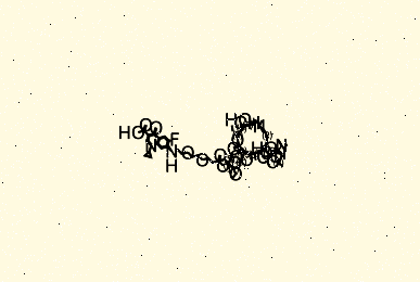 CC[C@H]1OC(=O)[C@H](C)[C@@H](O[C@@H]2C[C@@](C)(OC)[C@@H](OC(=O)CCOCCOCCNc3cc4c(cc3F)c(=O)c(C(=O)O)cn4C3CC3)[C@H](C)O2)[C@H](C)[C@@H](OC2O[C@H](C)C[C@H](N(C)C)[C@H]2O)[C@](C)(O)C[C@@H](C)CN(C)[C@H](C)[C@@H](O)[C@]1(C)O